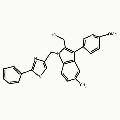 COc1ccc(-c2c(CO)n(Cc3csc(-c4ccccc4)n3)c3ccc(C)cc23)cn1